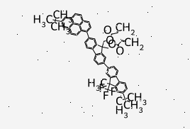 C=CC(=O)OCC1(COC(=O)C=C)c2cc(-c3ccc4c(c3)C(C)(C(F)(F)F)c3cc(C(C)(C)C)ccc3-4)ccc2-c2ccc(-c3ccc4ccc5cc(C(C)(C)C)cc6ccc3c4c56)cc21